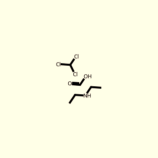 CCNCC.ClC(Cl)Cl.O=CO